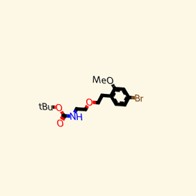 COc1cc(Br)ccc1CCOCCNC(=O)OC(C)(C)C